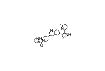 Cc1cccc(-c2[nH]cnc2-c2ccc3ncc(C4=CCN(C(=O)[C@@H]5CCCN5)CC4)cc3c2)n1